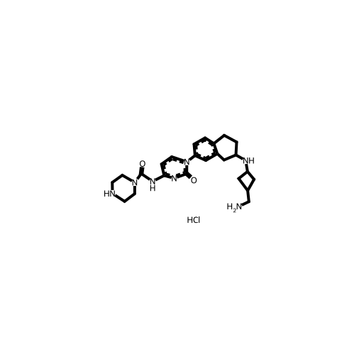 Cl.NCC1CC(NC2CCc3ccc(-n4ccc(NC(=O)N5CCNCC5)nc4=O)cc3C2)C1